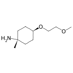 COCCO[C@H]1CC[C@](C)(N)CC1